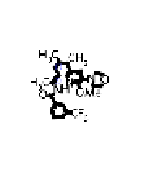 C=C(/C(C)=C\C=C(/C)NC(=O)c1cccc(C(F)(F)F)c1)c1cnc(OC)c(N2CCOCC2)c1